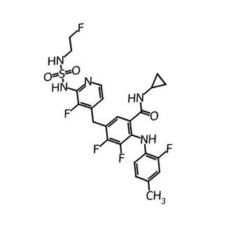 Cc1ccc(Nc2c(C(=O)NC3CC3)cc(Cc3ccnc(NS(=O)(=O)NCCF)c3F)c(F)c2F)c(F)c1